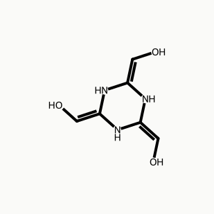 OC=C1NC(=CO)NC(=CO)N1